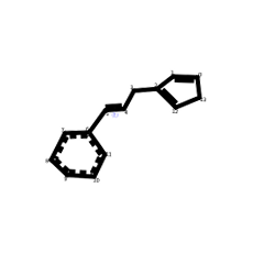 C1=CC(C/C=C/c2ccccc2)=CC1